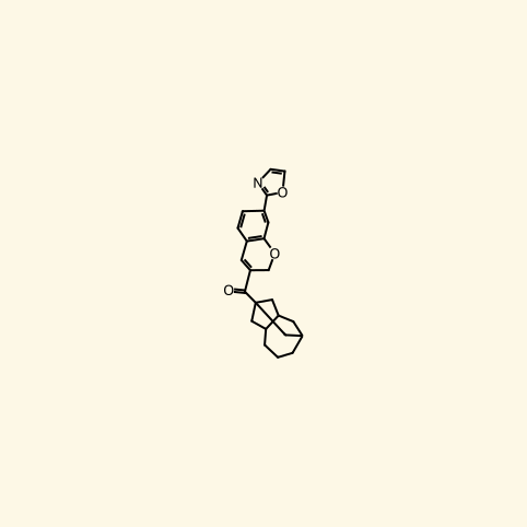 O=C(C1=Cc2ccc(-c3ncco3)cc2OC1)C12CC3CCCC(C1)C(C3)C2